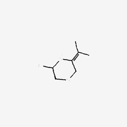 CC(C)=C1CNCC(C(C)C)N1